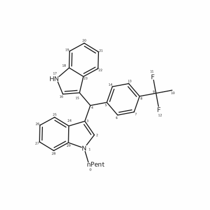 CCCCCn1cc(C(c2ccc(C(C)(F)F)cc2)c2c[nH]c3ccccc23)c2ccccc21